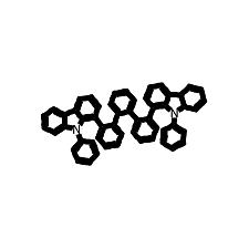 C1=CC2c3cccc(-c4ccccc4-c4ccccc4-c4ccccc4-c4cccc5c6ccccc6n(-c6ccccc6)c45)c3N(c3ccccc3)C2C=C1